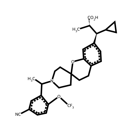 CC(c1cc(C#N)ccc1OC(F)(F)F)N1CCC2(CCc3ccc([C@H](C4CC4)[C@H](C)C(=O)O)cc3O2)CC1